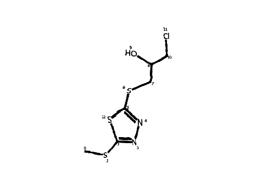 CSc1nnc(SCC(O)CCl)s1